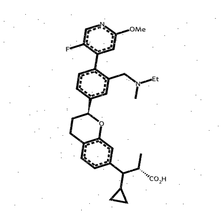 CCN(C)Cc1cc([C@@H]2CCc3ccc(C(C4CC4)[C@H](C)C(=O)O)cc3O2)ccc1-c1cc(OC)ncc1F